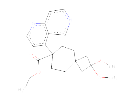 CCOC(=O)C1(c2ccnc3ccncc23)CCC2(CC1)CC(OC)(OC)C2